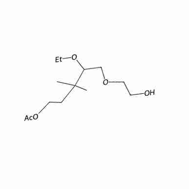 CCOC(COCCO)C(C)(C)CCOC(C)=O